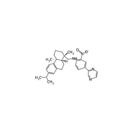 CC(C)c1ccc2c(c1)CC[C@H]1[C@@](C)(CNc3ccc(-c4cnccn4)cc3[N+](=O)[O-])CCC[C@]21C